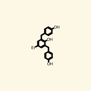 CCc1cc(Cc2ccc(O)cc2)c(O)c(Cc2ccc(O)cc2)c1